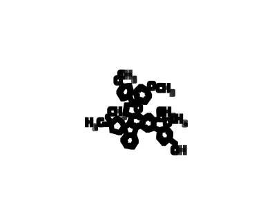 CCC1(CC)CCC2(CC1)c1ccccc1-c1c2c2c(c3cc(OC)c(-c4ccc(CO)cc4OC)cc13)OC(c1ccc(OC)cc1)(c1ccc(OC)cc1)C=C2